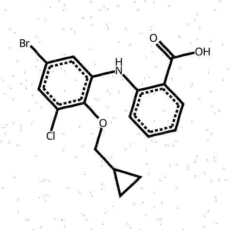 O=C(O)c1ccccc1Nc1cc(Br)cc(Cl)c1OCC1CC1